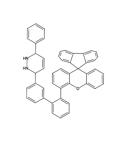 C1=CC(c2cccc(-c3ccccc3-c3cccc4c3Oc3ccccc3C43c4ccccc4-c4ccccc43)c2)NNC1c1ccccc1